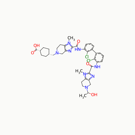 CC(O)N1CCc2c(nc(C(=O)Nc3cccc(-c4cccc(NC(=O)c5nc6c(n5C)CCN(C[C@H]5CC[C@@H](C(=O)O)CC5)C6)c4Cl)c3Cl)n2C)C1